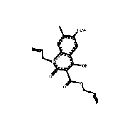 C=CCOC(=O)c1c(O)c2cc(OC)c(C)cc2n(CC=C)c1=O